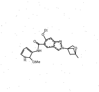 CCOc1cc2nn(C34COC(C)(C3)C4)cc2cc1C(=O)NC1=CC=CNC1OC